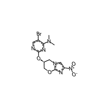 CN(C)c1nc(O[C@@H]2COc3nc([N+](=O)[O-])cn3C2)ncc1Br